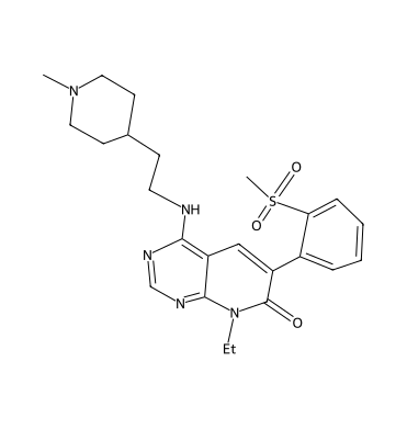 CCn1c(=O)c(-c2ccccc2S(C)(=O)=O)cc2c(NCCC3CCN(C)CC3)ncnc21